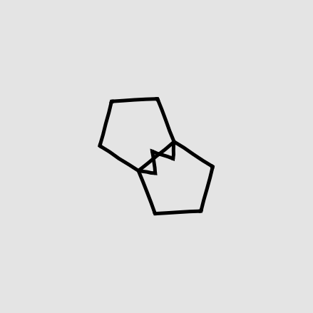 C1CC23CCCC2(C1)CCC3